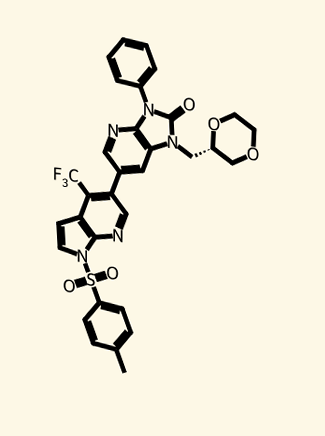 Cc1ccc(S(=O)(=O)n2ccc3c(C(F)(F)F)c(-c4cnc5c(c4)n(C[C@H]4COCCO4)c(=O)n5-c4ccccc4)cnc32)cc1